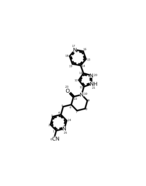 N#Cc1ccc(CC2CCCN(c3cc(-c4ccncc4)n[nH]3)C2=O)cn1